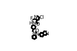 O=C(NC1CCC(Cn2c(=O)n(-c3ccc4cnccc4c3)c3ccccc32)CC1)c1cc(Cl)cnc1C(F)F